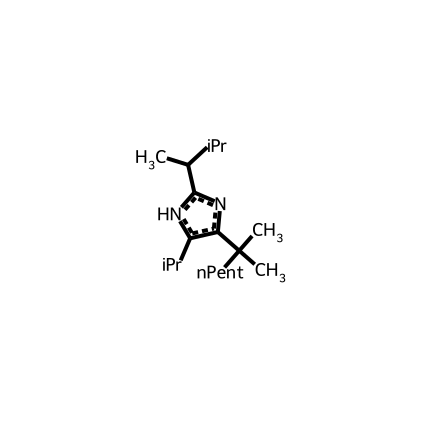 CCCCCC(C)(C)c1nc(C(C)C(C)C)[nH]c1C(C)C